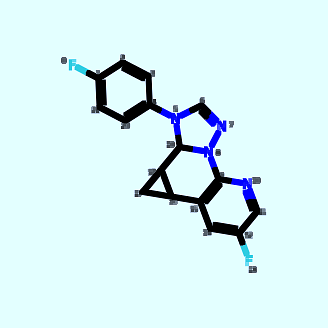 Fc1ccc(N2C=NN3c4ncc(F)cc4C4CC4C23)cc1